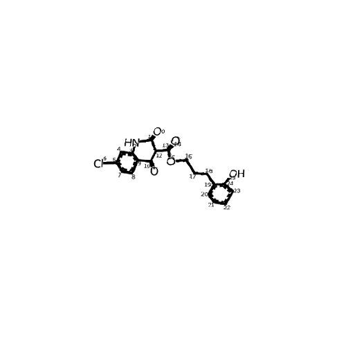 O=C1Nc2cc(Cl)ccc2C(=O)C1C(=O)OCCCc1ccccc1O